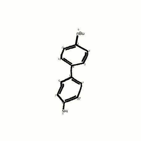 CCCCc1ccc(-c2ccc(S)cc2)cc1